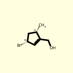 C[C@H]1C[C@@H](Br)C=C1CO